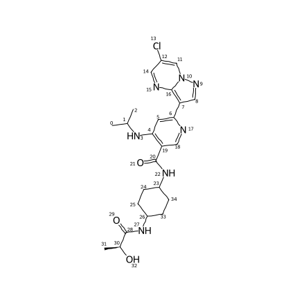 CC(C)Nc1cc(-c2cnn3cc(Cl)cnc23)ncc1C(=O)NC1CCC(NC(=O)[C@H](C)O)CC1